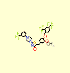 COc1cc(/C=C2\SC(N3CCN(c4cccc(C(F)(F)F)c4)CC3)=NC2=O)ccc1OCc1ccc(C(F)(F)F)cc1C(F)(F)F